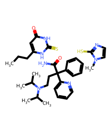 CC(C)N(CCC(C(N)=O)(c1ccccc1)c1ccccn1)C(C)C.CCCc1cc(=O)[nH]c(=S)[nH]1.Cn1ccnc1S